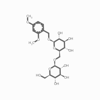 COc1ccc(CO[C@@H]2O[C@H](CO[C@@H]3O[C@H](CO)[C@@H](O)[C@H](O)[C@H]3O)[C@@H](O)[C@H](O)[C@H]2O)c(OC)c1